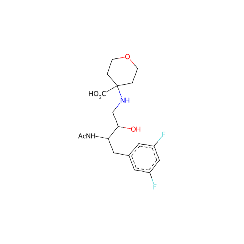 CC(=O)NC(Cc1cc(F)cc(F)c1)C(O)CNC1(C(=O)O)CCOCC1